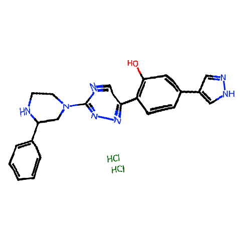 Cl.Cl.Oc1cc(-c2cn[nH]c2)ccc1-c1cnc(N2CCNC(c3ccccc3)C2)nn1